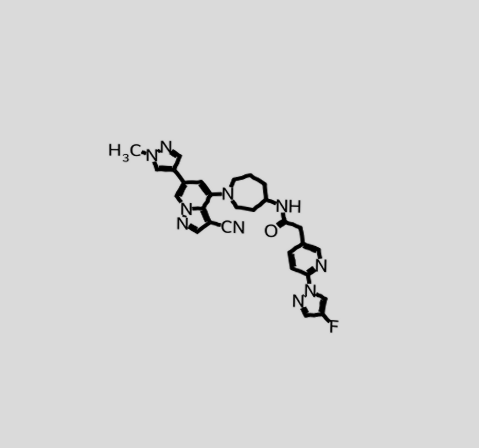 Cn1cc(-c2cc(N3CCCC(NC(=O)Cc4ccc(-n5cc(F)cn5)nc4)CC3)c3c(C#N)cnn3c2)cn1